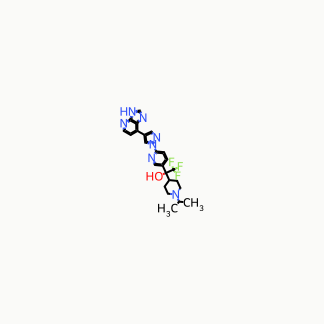 CC(C)N1CCC(C(O)(c2ccc(-n3cc(-c4ccnc5[nH]cnc45)cn3)nc2)C(F)(F)F)CC1